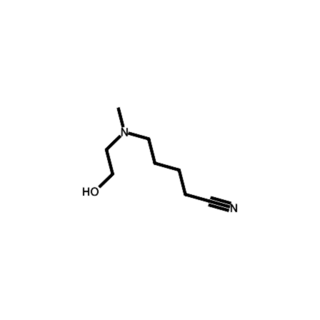 CN(CCO)CCCCC#N